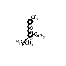 CC(C)(F)CNc1cc(CC(=O)Cc2ccc(C(F)(F)F)cc2)nc(OCC(F)(F)F)c1